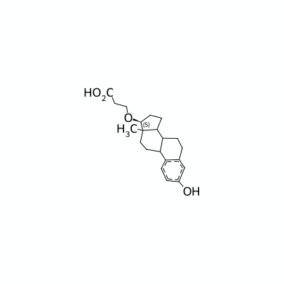 CC12CCC3c4ccc(O)cc4CCC3C1CC[C@@H]2OCCC(=O)O